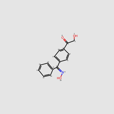 O=C(CO)c1ccc(C(=NO)c2ccccc2)cc1